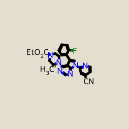 CCOC(=O)N1CCN(c2ncnc3c2c(-c2ccccc2F)cn3-c2cc(C#N)ccn2)[C@@H](C)C1